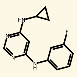 Fc1cccc(Nc2cc(NC3CC3)ncn2)c1